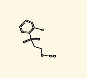 O=COCCS(=O)(=O)c1ccccc1Cl